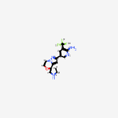 Nc1ncc(-c2cc3n(n2)CCO[C@@]32CCNC2)cc1C(F)(F)F